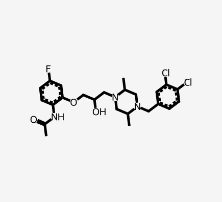 CC(=O)Nc1ccc(F)cc1OCC(O)CN1CC(C)N(Cc2ccc(Cl)c(Cl)c2)CC1C